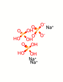 O=P(O)(O)O.O=P(O)(O)O.O=P([O-])([O-])[O-].[Na+].[Na+].[Na+]